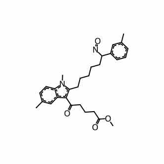 COC(=O)CCCC(=O)c1c(CCCCCC(N=O)c2cccc(C)c2)n(C)c2ccc(C)cc12